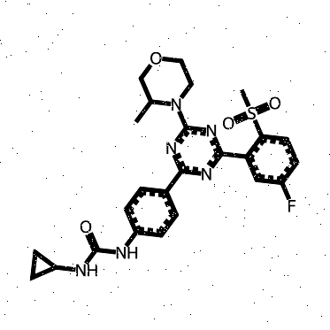 CC1COCCN1c1nc(-c2ccc(NC(=O)NC3CC3)cc2)nc(-c2cc(F)ccc2S(C)(=O)=O)n1